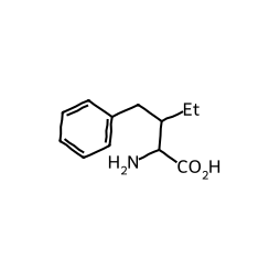 CCC(Cc1ccccc1)C(N)C(=O)O